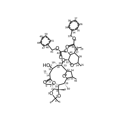 CC[C@H]1OC(C)(C)O[C@@]1(C)[C@@H]1OC(=O)[C@H](C)[C@@H](O)[C@H](C)[C@@H](O[C@@H]2OC(C)CC(N(C)C(=O)OCc3ccccc3)C2OC(=O)OCc2ccccc2)[C@@]2(C)CC(C)C(O2)[C@@H]1C